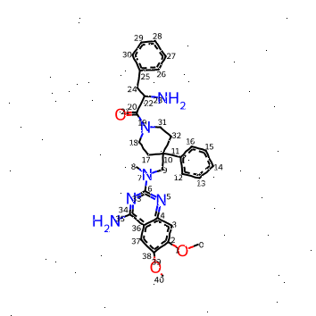 COc1cc2nc(N(C)CC3(c4ccccc4)CCN(C(=O)C(N)Cc4ccccc4)CC3)nc(N)c2cc1OC